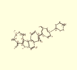 Cc1cc(N2CCNCC2)ccc1-c1ccc2c(ccc3sc4c(c32)NC[C@@H](C)NC4=O)n1